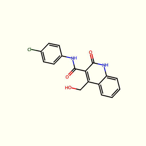 O=C(Nc1ccc(Cl)cc1)c1c(CO)c2ccccc2[nH]c1=O